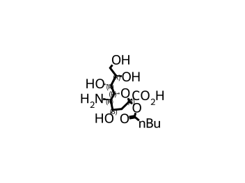 CCCCC(=O)O[C@@]1(C(=O)O)C[C@H](O)[C@@H](N)[C@H]([C@H](O)[C@H](O)CO)O1